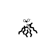 CCCCC1=C(C)N=C(C(C)(CCC)CCCC)[N+]1(CCCC)CCCC.O=C[O-]